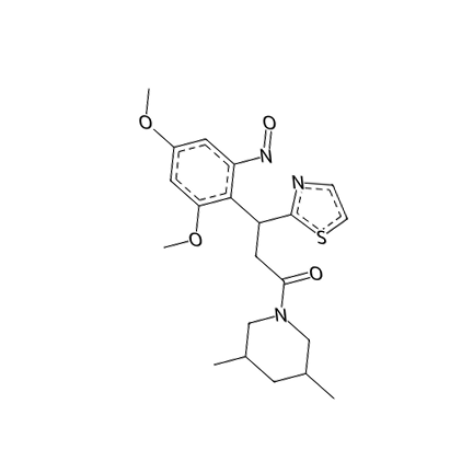 COc1cc(N=O)c(C(CC(=O)N2CC(C)CC(C)C2)c2nccs2)c(OC)c1